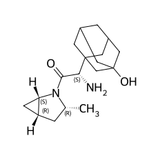 C[C@@H]1C[C@@H]2C[C@@H]2N1C(=O)[C@@H](N)C12CC3CC(CC(O)(C3)C1)C2